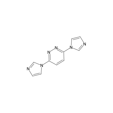 c1cn(-c2ccc(-n3ccnc3)nn2)cn1